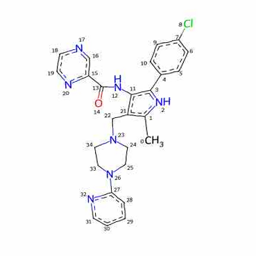 Cc1[nH]c(-c2ccc(Cl)cc2)c(NC(=O)c2cnccn2)c1CN1CCN(c2ccccn2)CC1